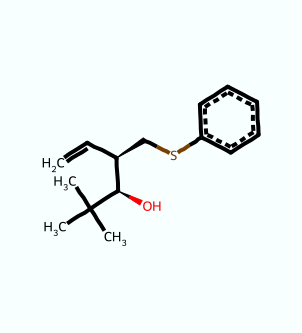 C=C[C@@H](CSc1ccccc1)[C@@H](O)C(C)(C)C